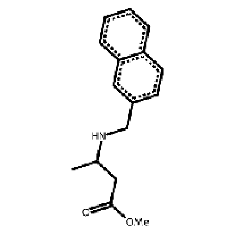 COC(=O)CC(C)NCc1ccc2ccccc2c1